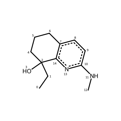 CCC1(O)CCCc2ccc(NC)nc21